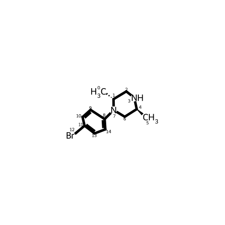 C[C@@H]1CN[C@@H](C)CN1c1ccc(Br)cc1